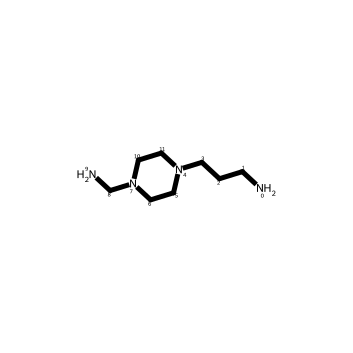 NCCCN1CCN(CN)CC1